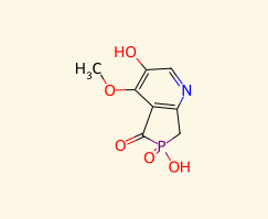 COc1c(O)cnc2c1C(=O)P(=O)(O)C2